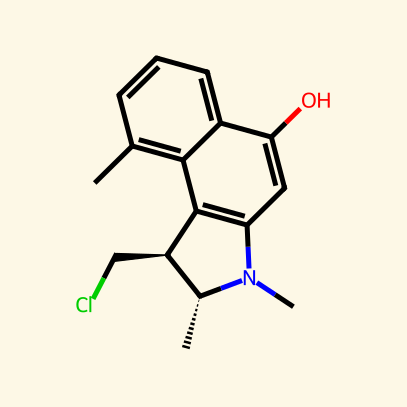 Cc1cccc2c(O)cc3c(c12)[C@H](CCl)[C@@H](C)N3C